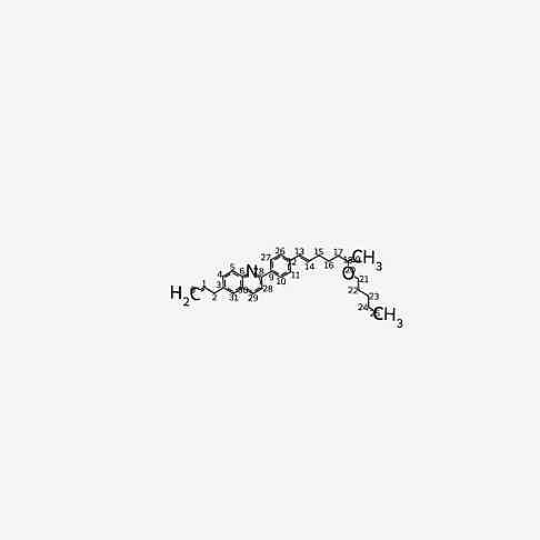 C=CCc1ccc2nc(-c3ccc(/C=C/CCCC(C)OCCCCC)cc3)ccc2c1